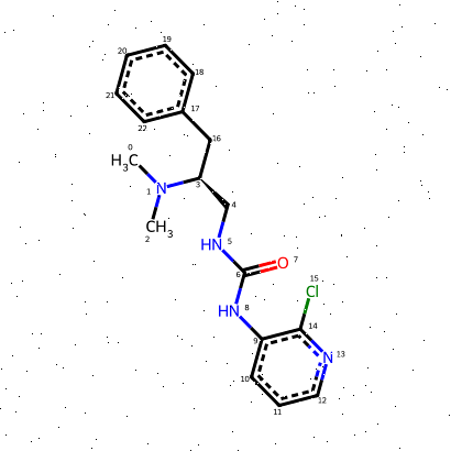 CN(C)[C@H](CNC(=O)Nc1cccnc1Cl)Cc1ccccc1